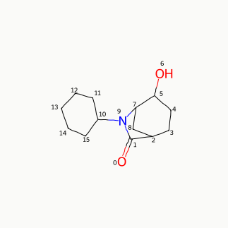 O=C1C2CCC(O)C(C2)N1C1CCCCC1